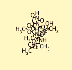 CC(C)OC(=O)C(C)NP(=O)(NC(C)C(=O)OC(C)C)OC[C@@](F)(O[C@H](CO)n1ccc(=O)[nH]c1=O)[C@H](C)O